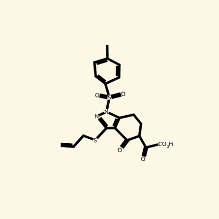 C=CCSc1nn(S(=O)(=O)c2ccc(C)cc2)c2c1C(=O)C(C(=O)C(=O)O)CC2